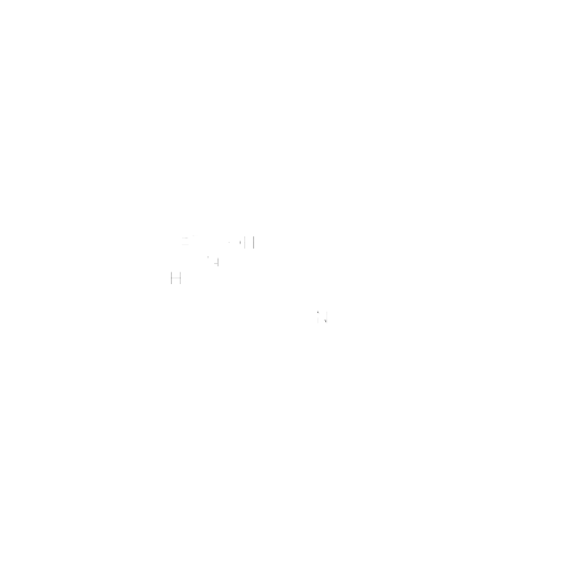 C=CCNCCCC[Si](O)(O)CC